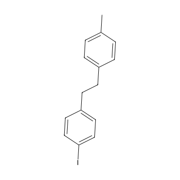 Cc1ccc(CCc2ccc(I)cc2)cc1